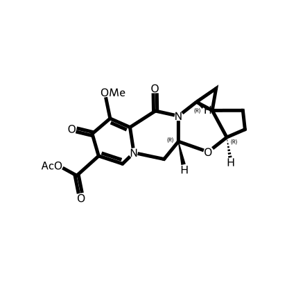 COc1c2n(cc(C(=O)OC(C)=O)c1=O)C[C@H]1O[C@@H]3CCC34C[C@H]4N1C2=O